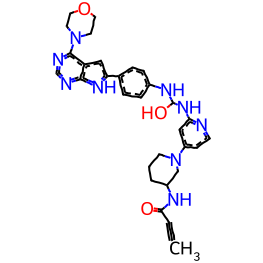 CC#CC(=O)NC1CCCN(c2ccnc(NC(O)Nc3ccc(-c4cc5c(N6CCOCC6)ncnc5[nH]4)cc3)c2)C1